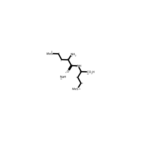 CSCCC(N)C(=O)NC(CCSC)C(=O)O.[NaH]